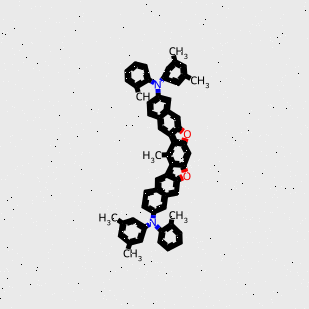 Cc1cc(C)cc(N(c2ccc3cc4c(cc3c2)oc2cc3oc5cc6cc(N(c7cc(C)cc(C)c7)c7ccccc7C)ccc6cc5c3c(C)c24)c2ccccc2C)c1